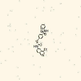 CCc1cncc2ccc(NC(=O)[C@@H]3CC3c3ccc(S(=O)(=O)Nc4ccccn4)cc3)cc12